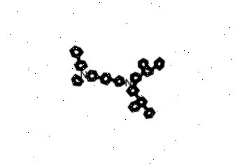 c1ccc(-c2ccc(N(c3ccccc3)c3ccc(-c4ccc(-c5ccc(-n6c7ccc(-c8ccc(-c9ccccc9)c9ccccc89)cc7c7cc(-c8ccc(-c9ccccc9)c9ccccc89)ccc76)cc5)cc4)cc3)cc2)cc1